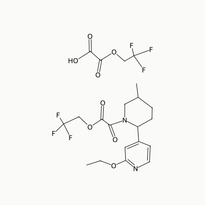 CCOc1cc(C2CCC(C)CN2C(=O)C(=O)OCC(F)(F)F)ccn1.O=C(O)C(=O)OCC(F)(F)F